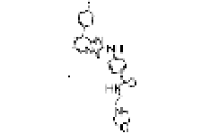 Cc1ccc(-c2cccn3nc(Nc4ccc(C(=O)NCCN5CCOCC5)cc4)nc23)cc1